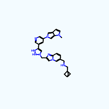 Cn1ccc2cn(-c3cncc(C4=CN(Cc5cn6cc(CNCC78CC(C7)C8)ccc6n5)NN4)c3)cc21